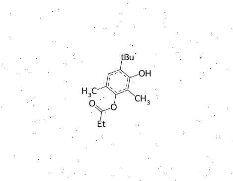 CCC(=O)Oc1c(C)cc(C(C)(C)C)c(O)c1C